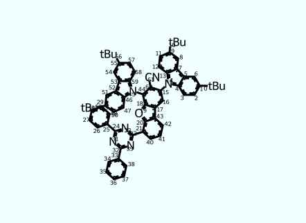 CC(C)(C)c1ccc2c(c1)c1cc(C(C)(C)C)ccc1n2-c1cc2c(oc3c(-c4nc(-c5ccccc5)nc(-c5ccccc5)n4)cccc32)c(-n2c3ccc(C(C)(C)C)cc3c3cc(C(C)(C)C)ccc32)c1C#N